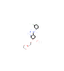 COc1cc2c(Nc3ccc(Cl)c(Cl)c3)ncnc2cc1OCCC1OCCCO1